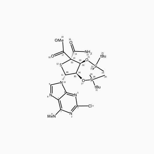 CNc1nc(Cl)nc2c1ncn2[C@@H]1S[C@@](C(N)=O)(C(=O)OC)[C@@H](O[Si](C)(C)C(C)(C)C)[C@H]1O[Si](C)(C)C(C)(C)C